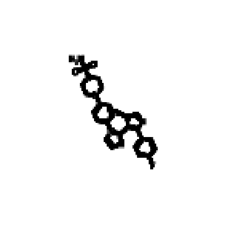 CC(C)n1cnc(-c2ccc(F)cc2)c1-c1nccn1-c1ccc(N2CCN(S(N)(=O)=O)CC2)cc1